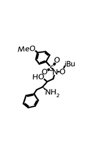 CCC(C)ON(CC(O)[C@@H](N)Cc1ccccc1)S(=O)(=O)c1ccc(OC)cc1